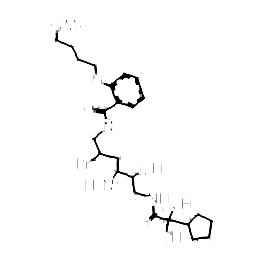 COCCCCOc1ccccc1C(=O)NCC(CC(N)C(O)CNC(=O)C(C)(C)C1CCCC1)C(C)C